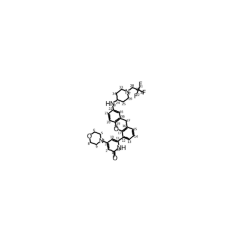 O=c1cc(N2CCOCC2)cc(-c2cccc3c2Oc2ccc(NC4CCN(CC(F)(F)F)CC4)cc2C3)[nH]1